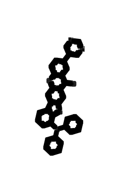 O=c1c2cc(-c3cncnc3)ccc2oc2cc3c(cc12)sc1c(N(c2ccccc2)c2ccccc2)cccc13